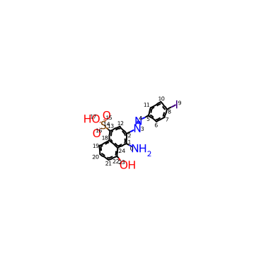 Nc1c(N=Nc2ccc(I)cc2)cc(S(=O)(=O)O)c2cccc(O)c12